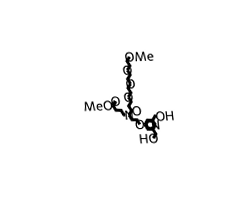 COCCOCCOCCOCCC(=O)N(CCCC(=O)OC)CCOc1cc(CO)nc(CO)c1